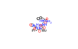 CCC(C)C(NC(=O)C(CC(C)C)NC(=O)CN1CCOCC1)C(=O)C(=O)NCC(=O)NC(Cc1ccc2ccccc2c1)C(N)=O